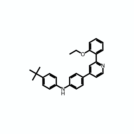 CCOc1ccccc1-c1cc(-c2ccc(Nc3ccc(C(C)(C)C)cc3)cc2)ccn1